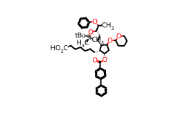 CC(Oc1ccccc1)[C@H](CC[C@H]1C(OC2CCCCO2)C[C@H](OC(=O)c2ccc(-c3ccccc3)cc2)[C@@H]1CCCCCCC(=O)O)O[Si](C)(C)C(C)(C)C